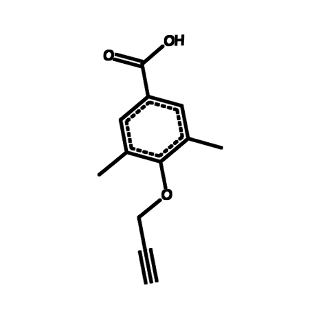 C#CCOc1c(C)cc(C(=O)O)cc1C